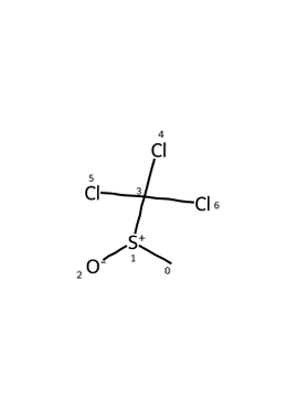 C[S+]([O-])C(Cl)(Cl)Cl